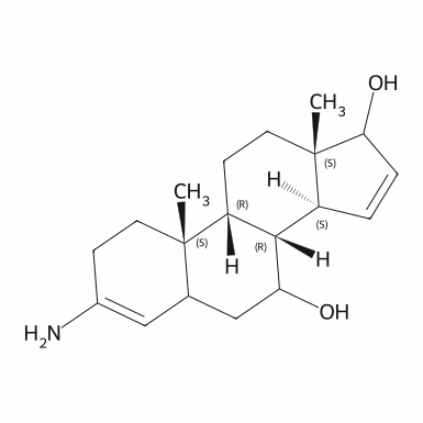 C[C@]12CCC(N)=CC1CC(O)[C@@H]1[C@H]2CC[C@]2(C)C(O)C=C[C@@H]12